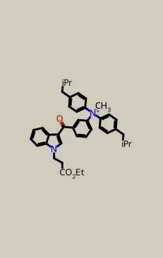 CCOC(=O)CCn1cc(C(=O)c2cccc([N+](C)(c3ccc(CC(C)C)cc3)c3ccc(CC(C)C)cc3)c2)c2ccccc21